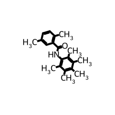 Cc1ccc(C)c(C(=O)Nc2c(C)c(C)c(C)c(C)c2C)c1